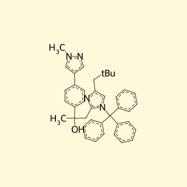 Cn1cc(-c2ccc(C(C)(O)Cc3nc(CC(C)(C)C)cn3C(c3ccccc3)(c3ccccc3)c3ccccc3)cc2)cn1